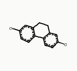 Clc1ccc2c(c1)CCc1cc(Cl)ccc1-2